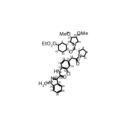 CCOC(=O)[C@H]1CC[C@H](OC([C@@H]2CCCN2C(=O)Cc2ccc(NC(=O)c3nn(C)c4ccccc34)c(Cl)c2)N2C[C@H](OC)[C@H](OC)C2)CC1